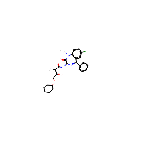 CC(C(=O)NC1N=C(c2ccccc2)c2cc(Cl)ccc2N(C)C1=O)C(O)COC1CCCCC1